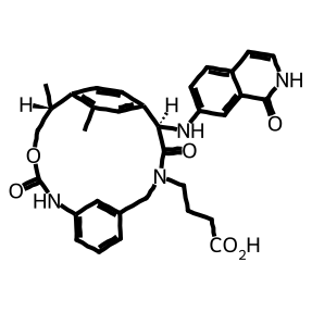 Cc1cc2ccc1[C@@H](C)COC(=O)Nc1cccc(c1)CN(CCCC(=O)O)C(=O)[C@@H]2Nc1ccc2cc[nH]c(=O)c2c1